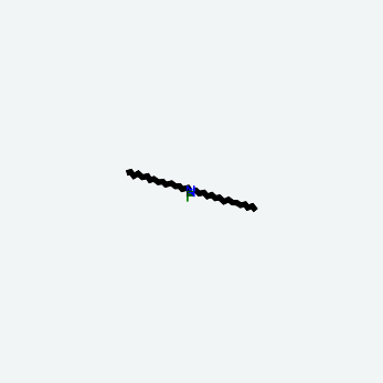 CCCCCCCCCCCCCCCCN(F)CCCCCCCCCCCCCCCC